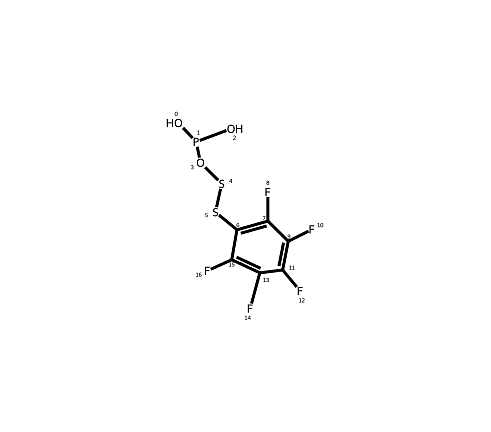 OP(O)OSSc1c(F)c(F)c(F)c(F)c1F